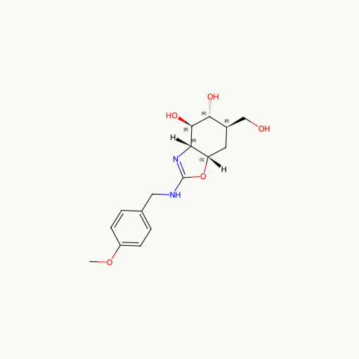 COc1ccc(CNC2=N[C@@H]3[C@@H](O)[C@H](O)[C@@H](CO)C[C@@H]3O2)cc1